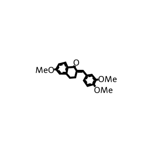 COc1ccc2c(c1)CCC(=Cc1ccc(OC)c(OC)c1)C2=O